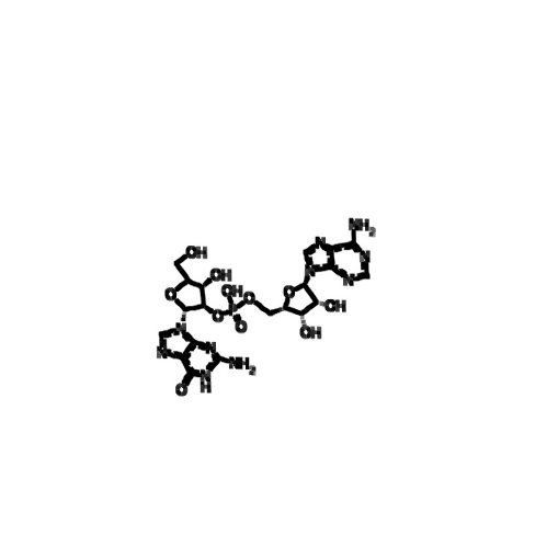 Nc1nc2c(ncn2[C@@H]2OC(CO)[C@@H](O)[C@H]2OP(=O)(O)OC[C@H]2O[C@@H](n3cnc4c(N)ncnc43)[C@H](O)[C@@H]2O)c(=O)[nH]1